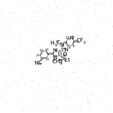 CCS(=O)(=O)c1c(-c2nc3cc(C(F)(F)F)ncc3n2C)nc(-c2cccc(C#N)c2)n1C